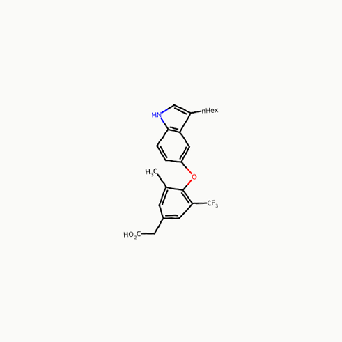 CCCCCCc1c[nH]c2ccc(Oc3c(C)cc(CC(=O)O)cc3C(F)(F)F)cc12